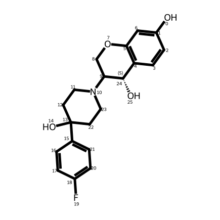 Oc1ccc2c(c1)OCC(N1CCC(O)(c3ccc(F)cc3)CC1)[C@H]2O